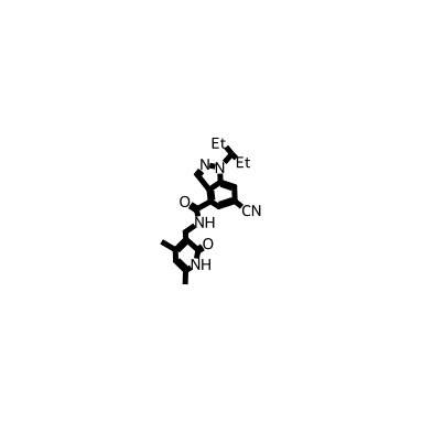 CCC(CC)n1ncc2c(C(=O)NCc3c(C)cc(C)[nH]c3=O)cc(C#N)cc21